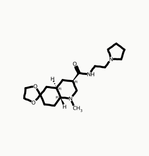 CN1C[C@H](C(=O)NCCN2CCCC2)C[C@@H]2CC3(CC[C@H]21)OCCO3